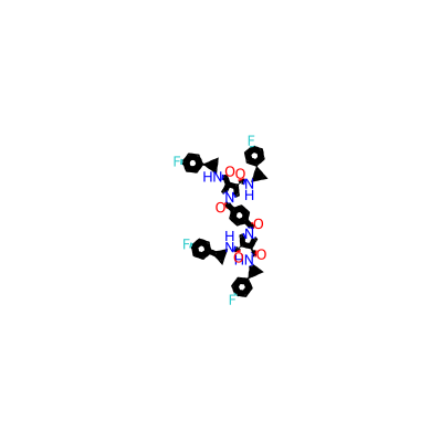 O=C(N[C@H]1C[C@@H]1c1ccc(F)cc1)C1CN(C(=O)c2ccc(C(=O)N3C[C@@H](C(=O)NC4C[C@@H]4c4ccc(F)cc4)[C@H](C(=O)N[C@H]4CC4c4ccc(F)cc4)C3)cc2)C[C@H]1C(=O)N[C@H]1C[C@H]1c1ccc(F)cc1